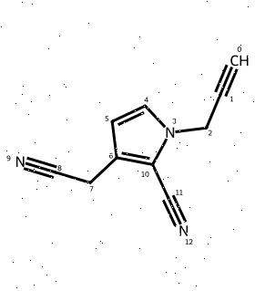 C#CCn1ccc(CC#N)c1C#N